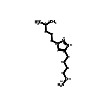 CC(C)CCCn1cc(CCCCON)nn1